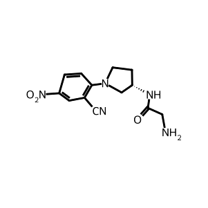 N#Cc1cc([N+](=O)[O-])ccc1N1CC[C@H](NC(=O)CN)C1